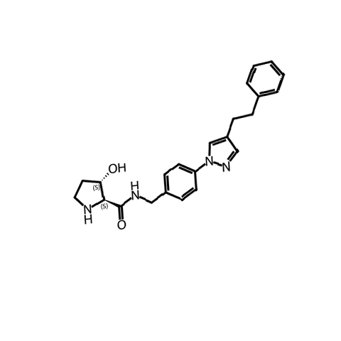 O=C(NCc1ccc(-n2cc(CCc3ccccc3)cn2)cc1)[C@H]1NCC[C@@H]1O